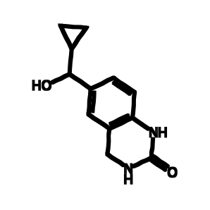 O=C1NCc2cc(C(O)C3CC3)ccc2N1